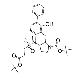 CC(C)(C)OC(=O)CCS(=O)(=O)NC1CCN(C(=O)OC(C)(C)C)C1Cc1cccc(-c2ccccc2)c1O